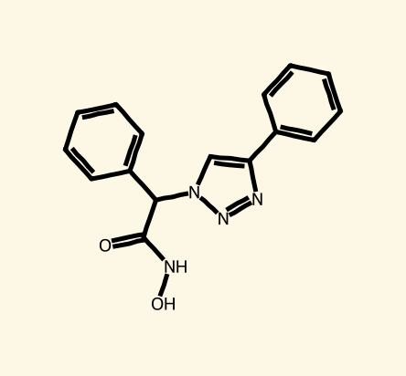 O=C(NO)C(c1ccccc1)n1cc(-c2ccccc2)nn1